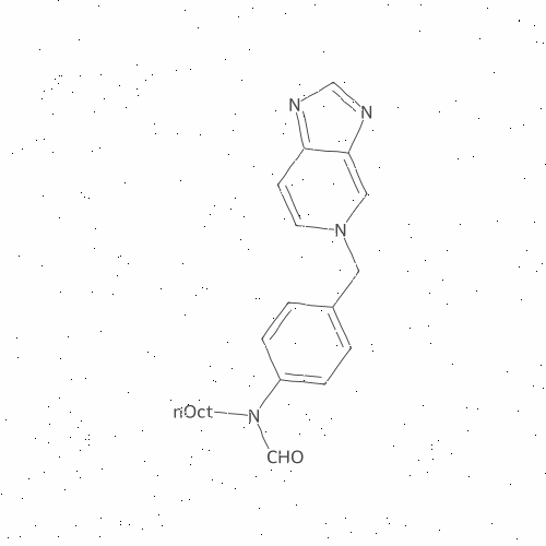 CCCCCCCCN(C=O)c1ccc(Cn2ccc3ncnc-3c2)cc1